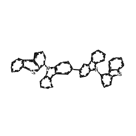 c1ccc2c(c1)sc1c(-n3c4ccccc4c4cc(-c5ccc6c(c5)c5ccccc5n6-c5cccc6sc7ccccc7c56)ccc43)cccc12